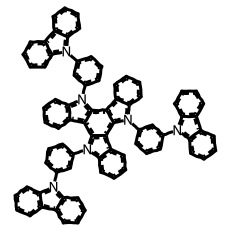 c1cc(-n2c3ccccc3c3ccccc32)cc(-n2c3ccccc3c3c2c2c4ccccc4n(-c4cccc(-n5c6ccccc6c6ccccc65)c4)c2c2c4ccccc4n(-c4cccc(-n5c6ccccc6c6ccccc65)c4)c32)c1